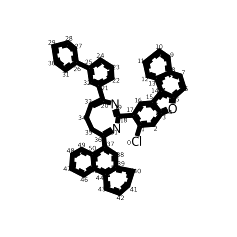 Clc1cc2oc3ccc4ccccc4c3c2cc1C1=N/C(c2cccc(-c3ccccc3)c2)=C\CC/C(c2cc3ccccc3c3ccccc23)=N\1